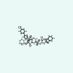 O=C(NOC1CCCCO1)[C@H]1CN(S(=O)(=O)CC(S)Cc2nc3ccccc3[nH]2)CCN1S(=O)(=O)c1ccc(-c2ccc(Cl)cc2)s1